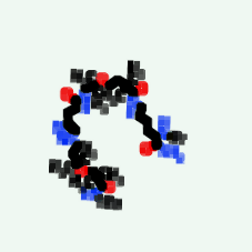 CCCCNC(=O)C(C)(C)COC(C)(C)CCn1cc(CCC(=O)NCC(C)(C)OCCC(C)(C)C(=O)NCCCCC(NC(C)C)C(N)=O)nn1